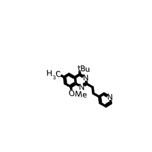 COc1cc(C)cc2c(C(C)(C)C)nc(CCc3cccnc3)nc12